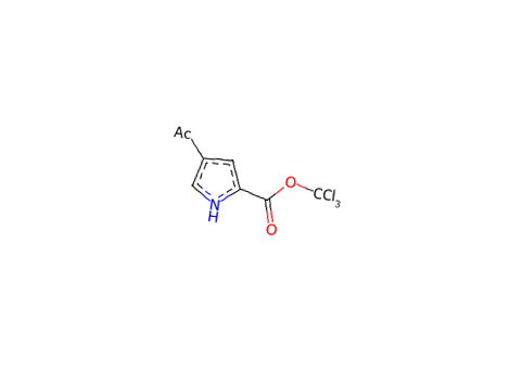 CC(=O)c1c[nH]c(C(=O)OC(Cl)(Cl)Cl)c1